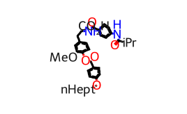 CCCCCCCOc1ccc(C(=O)Oc2ccc(CC(NC(=O)c3ccc(NC(=O)C(C)C)cc3)C(=O)O)cc2OC)cc1